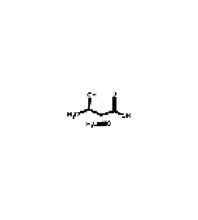 C=O.CC(O)CC(=O)O